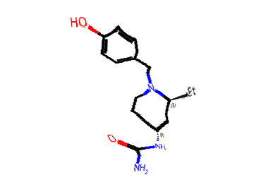 CC[C@H]1C[C@H](NC(N)=O)CCN1Cc1ccc(O)cc1